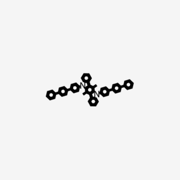 Cc1c2c3ccccc3n(-c3ccc(-c4ccc(-c5ccccc5)cc4)cc3)c2c(C)c2c3ccccc3n(-c3ccc(-c4ccc(-c5ccccc5)cc4)cc3)c12